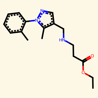 CCOC(=O)CCNCc1cnn(-c2ccccc2C)c1C